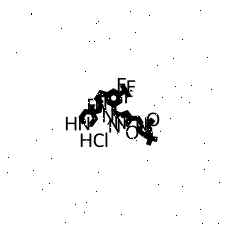 CC1(C)C2C(=O)N(Cc3cc4c(-c5cc(C(F)(F)F)cc6ccn(CC7(F)CCNCC7)c56)ncnn4c3)C(=O)C21.Cl